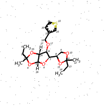 CCC1(C)O[C@H]2O[C@H]([C@H]3COC(C)(CC)O3)[C@H](OCc3ccsc3)[C@H]2O1